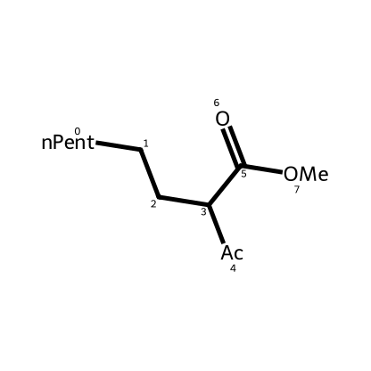 CCCCCCCC(C(C)=O)C(=O)OC